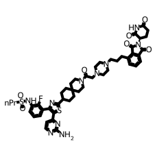 CCCS(=O)(=O)Nc1cccc(-c2nc(C3CCC4(CC3)CCN(C(=O)CN3CCN(CCCc5cccc6c5C(=O)N([C@@H]5CCC(=O)NC5=O)C6=O)CC3)CC4)sc2-c2ccnc(N)n2)c1F